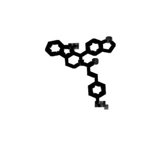 Nc1ccc(/C=C/C(=O)N2CCc3c([nH]c4ccccc34)C2c2ccc3c(c2)CCO3)cc1